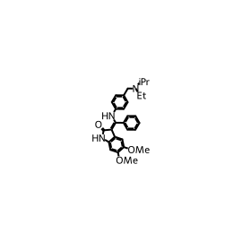 CCN(Cc1ccc(N/C(=C2\C(=O)Nc3cc(OC)c(OC)cc32)c2ccccc2)cc1)C(C)C